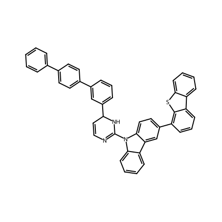 C1=CC(c2cccc(-c3ccc(-c4ccccc4)cc3)c2)NC(n2c3ccccc3c3cc(-c4cccc5c4sc4ccccc45)ccc32)=N1